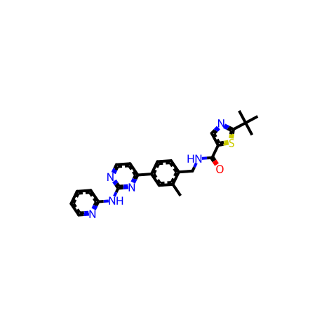 Cc1cc(-c2ccnc(Nc3ccccn3)n2)ccc1CNC(=O)c1cnc(C(C)(C)C)s1